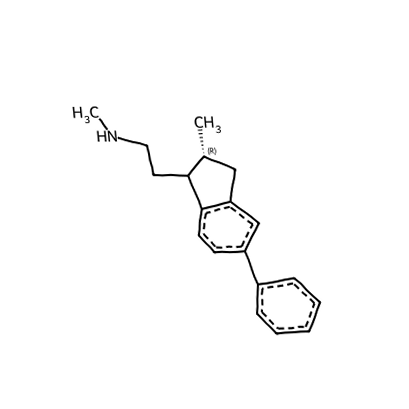 CNCCC1c2ccc(-c3ccccc3)cc2C[C@H]1C